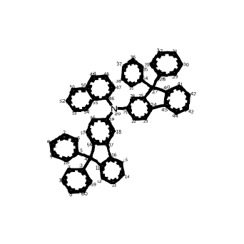 c1ccc(C2(c3ccccc3)c3ccccc3-c3cc(N(c4ccc5c(c4)C(c4ccccc4)(c4ccccc4)c4ccccc4-5)c4cccc5ccccc45)ccc32)cc1